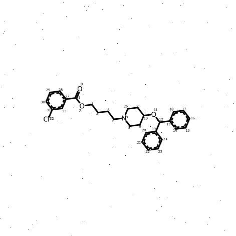 O=C(OCCCCN1CCC(OC(c2ccccc2)c2ccccc2)CC1)c1cccc(Cl)c1